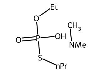 CCCSP(=O)(O)OCC.CNC